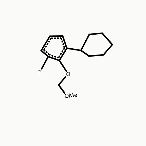 COCOc1c(F)cccc1C1CCCCC1